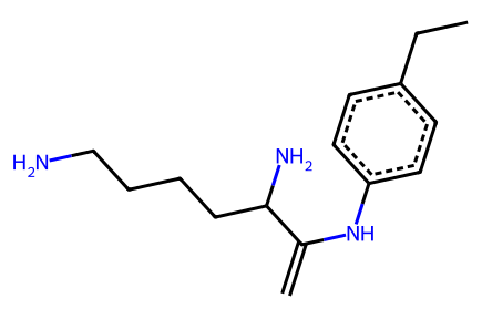 C=C(Nc1ccc(CC)cc1)C(N)CCCCN